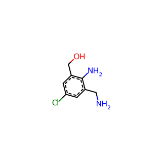 NCc1cc(Cl)cc(CO)c1N